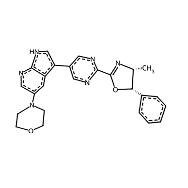 C[C@H]1N=C(c2ncc(-c3c[nH]c4ncc(N5CCOCC5)cc34)cn2)O[C@H]1c1ccccc1